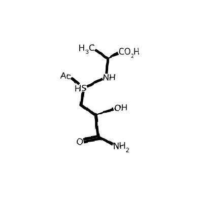 CC(=O)[SH](C[C@@H](O)C(N)=O)N[C@@H](C)C(=O)O